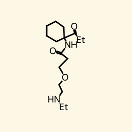 CCNCCOCCC(=O)NC1(C(=O)CC)CCCCC1